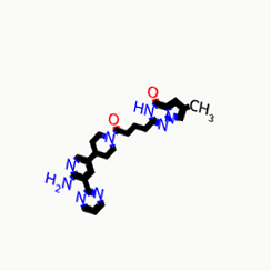 Cc1cc2c(=O)[nH]c(CCCC(=O)N3CCC(c4cnc(N)c(-c5ncccn5)c4)CC3)nn2c1